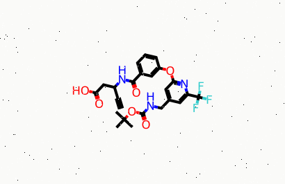 C#CC(CC(=O)O)NC(=O)c1cccc(Oc2cc(CNC(=O)OC(C)(C)C)cc(C(F)(F)F)n2)c1